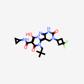 CC(C)(C)Cn1c(=O)c(C(=O)NC2CC2)c(O)n2nc3c(c12)CN(C1CC(F)(F)C1)C(=O)N3